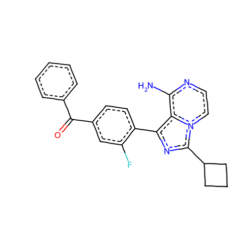 Nc1nccn2c(C3CCC3)nc(-c3ccc(C(=O)c4ccccc4)cc3F)c12